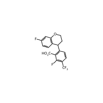 O=C(O)c1c(C2CCOc3cc(F)ccc32)ccc(C(F)(F)F)c1F